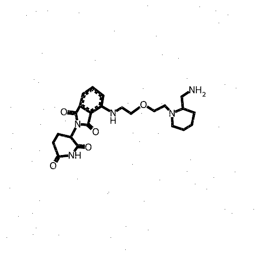 NCC1CCCCN1CCOCCNc1cccc2c1C(=O)N(C1CCC(=O)NC1=O)C2=O